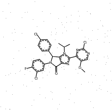 COc1cnc(Cl)nc1-c1nc2c(n1C(C)C)C(c1ccc(Cl)cc1)N(c1ccc(F)c(Cl)c1)C2=O